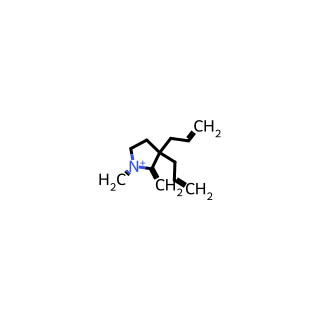 C=CCC1(CC=C)CC[N+](=C)C1=C